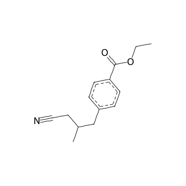 CCOC(=O)c1ccc(CC(C)CC#N)cc1